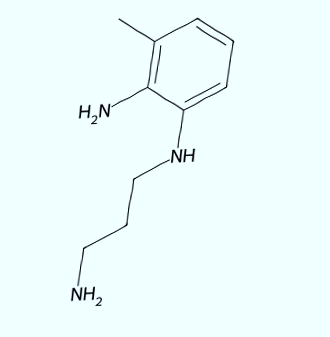 Cc1cccc(NCCCN)c1N